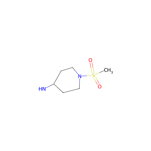 CS(=O)(=O)N1CCC([NH])CC1